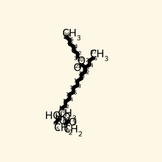 C=CC(=O)O.C=CC(=O)O.CCCCCCCCCCCCC=C(CCCC)C(=O)OCCCCCCCC